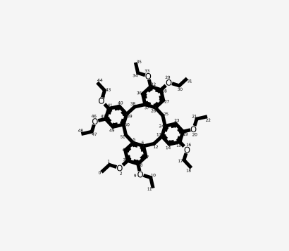 CCOc1cc2c(cc1OCC)Cc1cc(OCC)c(OCC)cc1Cc1cc(OCC)c(OCC)cc1Cc1cc(OCC)c(OCC)cc1C2